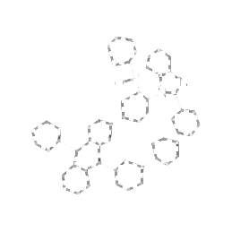 O=P1(c2ccccc2)c2cc(-c3ccc4c(-c5ccccc5)c5ccccc5c(-c5cccc(-c6ccccc6)c5)c4c3)ccc2-n2c(-c3ccccc3)nc3cccc1c32